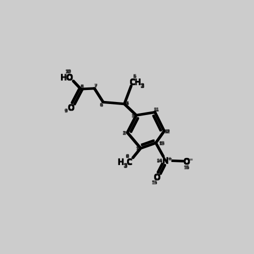 Cc1cc(C(C)CCC(=O)O)ccc1[N+](=O)[O-]